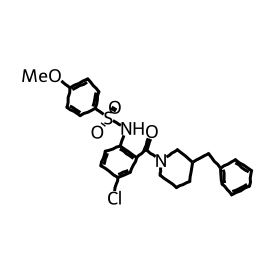 COc1ccc(S(=O)(=O)Nc2ccc(Cl)cc2C(=O)N2CCCC(Cc3ccccc3)C2)cc1